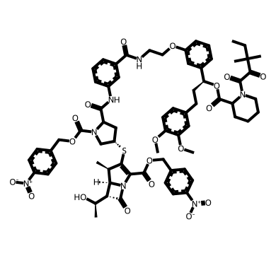 CCC(C)(C)C(=O)C(=O)N1CCCCC1C(=O)O[C@@H](CCc1ccc(OC)c(OC)c1)c1cccc(OCCNC(=O)c2cccc(NC(=O)C3C[C@H](SC4=C(C(=O)OCc5ccc([N+](=O)[O-])cc5)N5C(=O)[C@H]([C@@H](C)O)[C@H]5[C@H]4C)CN3C(=O)OCc3ccc([N+](=O)[O-])cc3)c2)c1